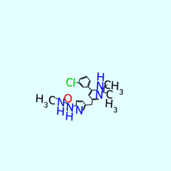 CCNC(=O)Nc1ccc(CC2=CN3C(C)=C(C)NC3C(c3cccc(Cl)c3)=C2)cn1